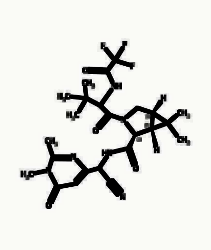 Cc1nc(C(C#N)NC(=O)[C@@H]2[C@@H]3[C@H](CN2C(=O)C(NC(=O)C(F)(F)F)C(C)(C)C)C3(C)C)cc(=O)n1C